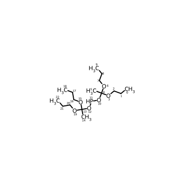 CCCOC(C)(OCCC)OPOC(C)(OCCC)OCCC